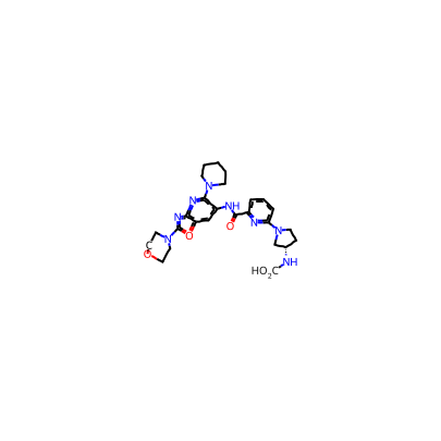 O=C(O)N[C@H]1CCN(c2cccc(C(=O)Nc3cc4oc(N5CCOCC5)nc4nc3N3CCCCC3)n2)C1